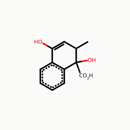 CC1C=C(O)c2ccccc2C1(O)C(=O)O